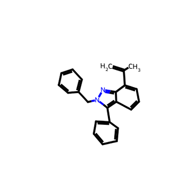 C=C(C)c1cccc2c(-c3ccccc3)n(Cc3ccccc3)nc12